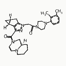 Cc1cccc(N2CCN(C(=O)Cn3nc(C(=O)N4CCN5CCCC[C@@H]5C4)c4c3C[C@H]3C[C@@H]43)CC2)c1C